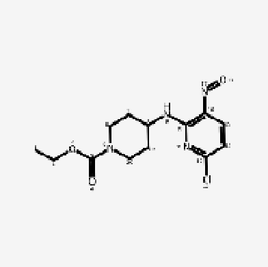 CCOC(=O)N1CCC(Nc2nc(Cl)ccc2N=O)CC1